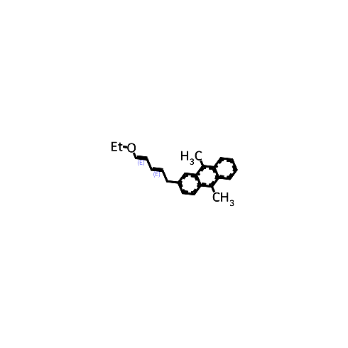 CCO/C=C/C=C/Cc1ccc2c(C)c3ccccc3c(C)c2c1